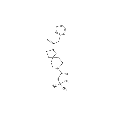 CC(C)(C)OC(=O)N1CCC2(CCN(C(=O)Cc3ccccn3)C2)CC1